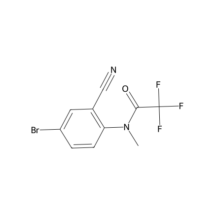 CN(C(=O)C(F)(F)F)c1ccc(Br)cc1C#N